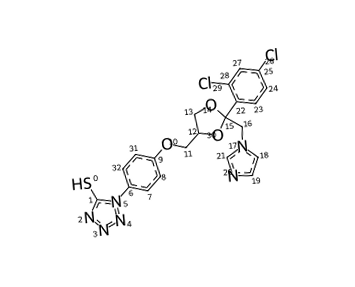 Sc1nnnn1-c1ccc(OCC2COC(Cn3ccnc3)(c3ccc(Cl)cc3Cl)O2)cc1